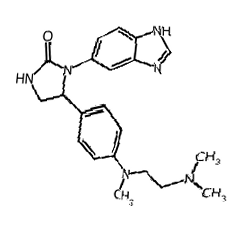 CN(C)CCN(C)c1ccc(C2CNC(=O)N2c2ccc3[nH]cnc3c2)cc1